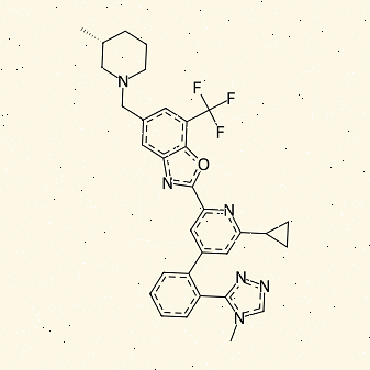 C[C@@H]1CCCN(Cc2cc(C(F)(F)F)c3oc(-c4cc(-c5ccccc5-c5nncn5C)cc(C5CC5)n4)nc3c2)C1